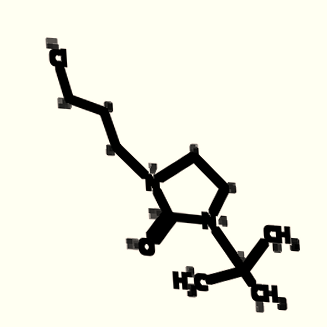 CC(C)(C)N1CCN(CCCCl)C1=O